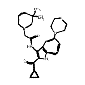 CC1(C)CCCN(CC(=O)Nc2c(C(=O)C3CC3)[nH]c3ccc(N4CCOCC4)cc23)C1